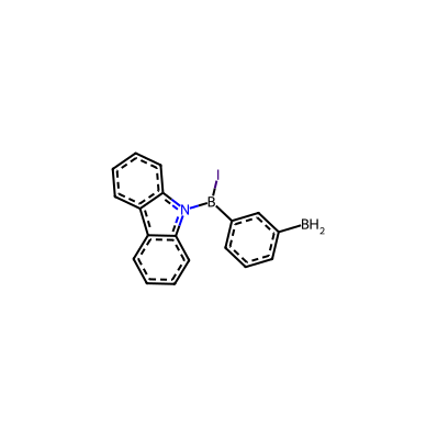 Bc1cccc(B(I)n2c3ccccc3c3ccccc32)c1